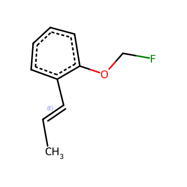 C/C=C/c1ccccc1OCF